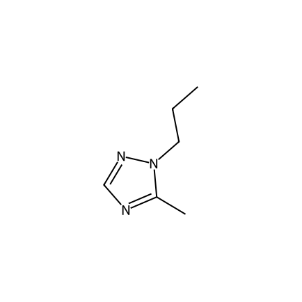 CCCn1ncnc1C